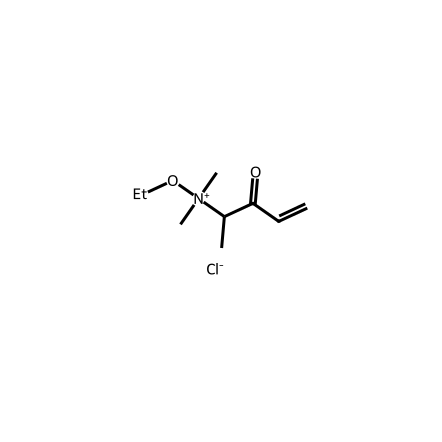 C=CC(=O)C(C)[N+](C)(C)OCC.[Cl-]